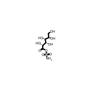 NS(=O)(=O)OC(=O)[C@H](O)[C@@H](O)[C@H](O)[C@H](O)CO